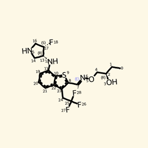 CC[C@@H](O)CO/N=C/c1sc2c(N[C@@H]3CNC[C@@H]3F)cccc2c1CC(F)(F)F